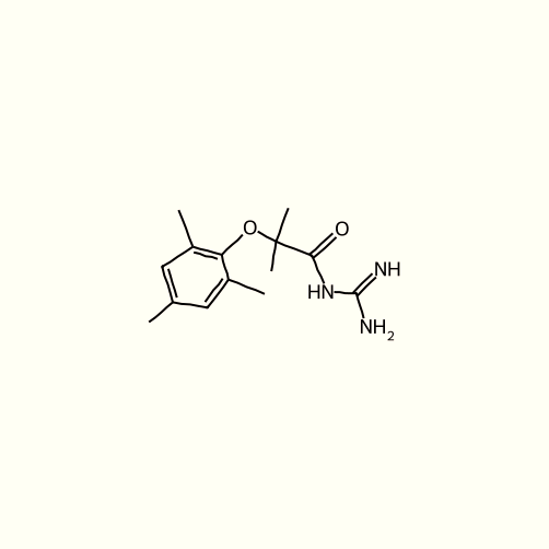 Cc1cc(C)c(OC(C)(C)C(=O)NC(=N)N)c(C)c1